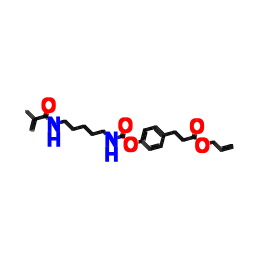 C=CCOC(=O)CCc1ccc(OC(=O)NCCCCCNC(=O)C(=C)C)cc1